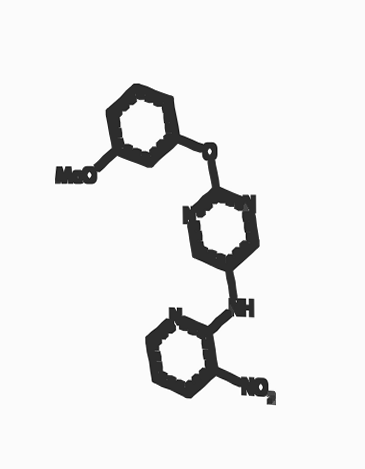 COc1cccc(Oc2ncc(Nc3ncccc3[N+](=O)[O-])cn2)c1